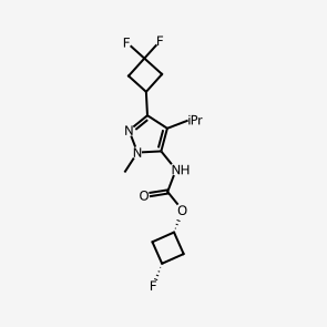 CC(C)c1c(C2CC(F)(F)C2)nn(C)c1NC(=O)O[C@H]1C[C@@H](F)C1